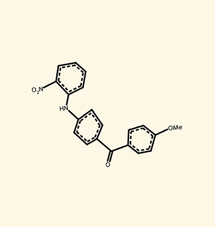 COc1ccc(C(=O)c2ccc(Nc3ccccc3[N+](=O)[O-])cc2)cc1